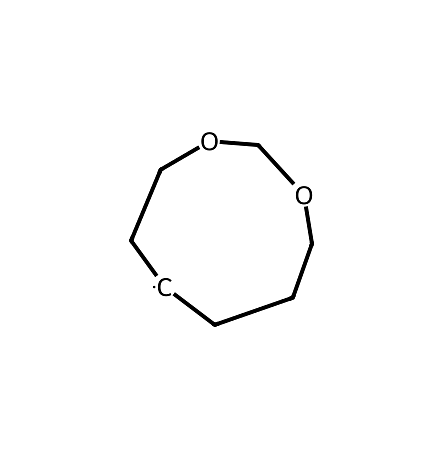 [CH]1CCCOCOCC1